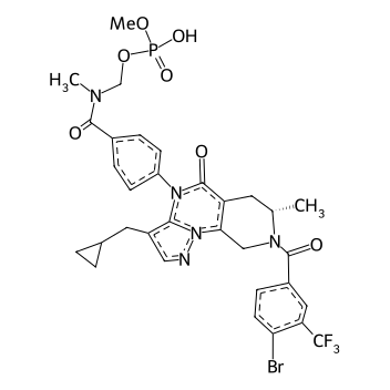 COP(=O)(O)OCN(C)C(=O)c1ccc(-n2c(=O)c3c(n4ncc(CC5CC5)c24)CN(C(=O)c2ccc(Br)c(C(F)(F)F)c2)[C@@H](C)C3)cc1